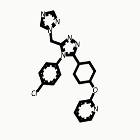 Clc1ccc(-n2c(Cn3cncn3)nnc2C2CCC(Oc3ccccn3)CC2)cc1